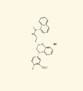 CC(NCC[C@H]1C[C@@H](c2ccc(F)c(C(=O)O)c2)c2ccccc2O1)c1cccc2ccccc12.Cl